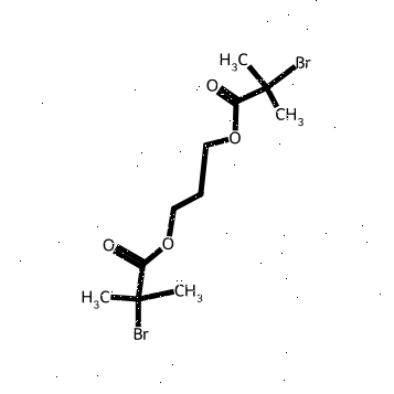 CC(C)(Br)C(=O)OCCCOC(=O)C(C)(C)Br